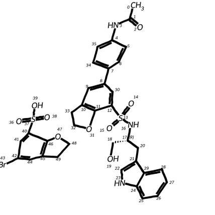 CC(=O)Nc1ccc(-c2cc3c(c(S(=O)(=O)N[C@@H](CO)Cc4c[nH]c5ccccc45)c2)OCC3)cc1.O=S(=O)(O)c1cc(Br)cc2c1OCC2